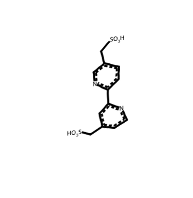 O=S(=O)(O)Cc1ccc(-c2cc(CS(=O)(=O)O)ccn2)nc1